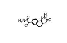 NC(=O)C(Cl)c1ccc2c(c1)CCC1CC(=O)NN=C21